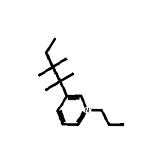 CCC[n+]1cccc(C(C)(C)C(C)(C)CC)c1